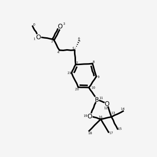 COC(=O)C[C@H](C)c1ccc(B2OC(C)(C)C(C)(C)O2)cc1